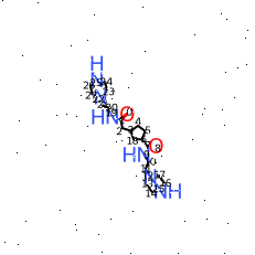 O=C(CC1CCC(C(=O)NCCN2CCNCC2)C1)NCCN1CCNCC1